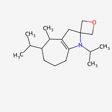 CC(C)C1CCCC2=C(CC3(COC3)N2C(C)C)C1C